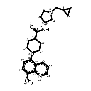 O=C(N[C@@H]1CCN(CC2CC2)C1)C1CCN(c2ccc(C(F)(F)F)c3ncccc23)CC1